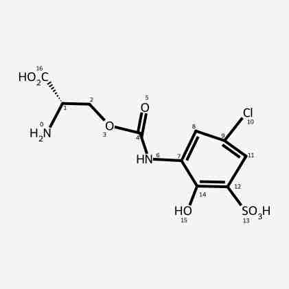 N[C@@H](COC(=O)Nc1cc(Cl)cc(S(=O)(=O)O)c1O)C(=O)O